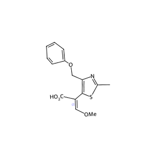 CO/C=C(/C(=O)O)c1sc(C)nc1COc1ccccc1